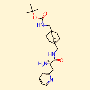 CC(C)(C)OC(=O)NCC12CCC(CNC(=O)[C@@H](N)Cc3ccccn3)(CC1)CC2